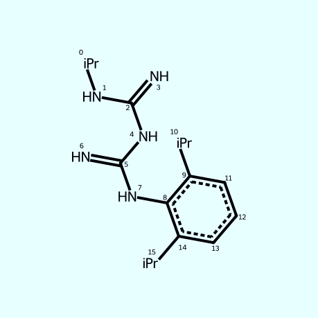 CC(C)NC(=N)NC(=N)Nc1c(C(C)C)cccc1C(C)C